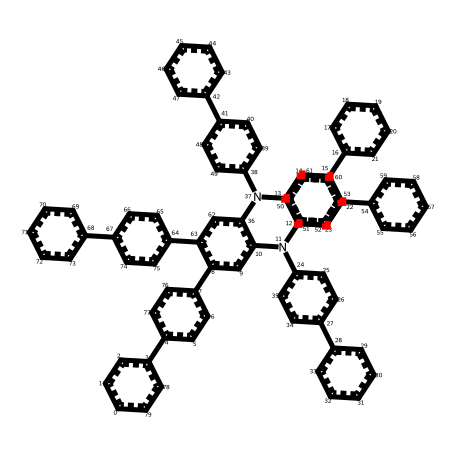 c1ccc(-c2ccc(-c3cc(N(c4ccc(-c5ccccc5)cc4)c4ccc(-c5ccccc5)cc4)c(N(c4ccc(-c5ccccc5)cc4)c4ccc(-c5ccccc5)cc4)cc3-c3ccc(-c4ccccc4)cc3)cc2)cc1